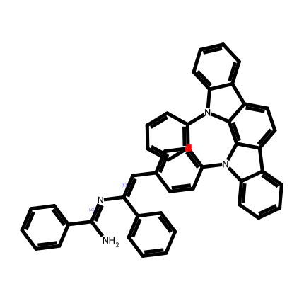 N/C(=N\C(=C\c1ccc(-n2c3ccccc3c3ccc4c5ccccc5n(-c5ccccc5)c4c32)cc1)c1ccccc1)c1ccccc1